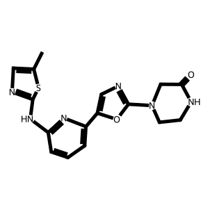 Cc1cnc(Nc2cccc(-c3cnc(N4CCNC(=O)C4)o3)n2)s1